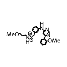 COCCCNS(=O)(=O)Cc1cccc(Nc2cc(-c3ccccc3OC)ncn2)c1